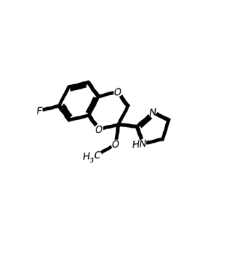 COC1(C2=NCCN2)COc2ccc(F)cc2O1